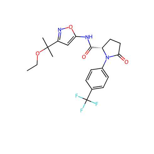 CCOC(C)(C)c1cc(NC(=O)[C@@H]2CCC(=O)N2c2ccc(C(F)(F)F)cc2)on1